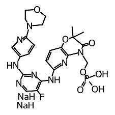 CC1(C)Oc2ccc(Nc3nc(Nc4ccc(N5CCOCC5)nc4)ncc3F)nc2N(COP(=O)(O)O)C1=O.[NaH].[NaH]